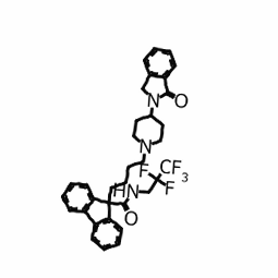 O=C1c2ccccc2CN1C1CCN(CCCCC2(C(=O)NCC(F)(F)C(F)(F)F)c3ccccc3-c3ccccc32)CC1